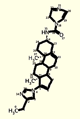 CCc1cn(C2=CCC3C4CC=C5C[C@@H](NC(=O)N6C=CN=CC6)CC[C@]5(C)C4CC[C@]23C)cn1